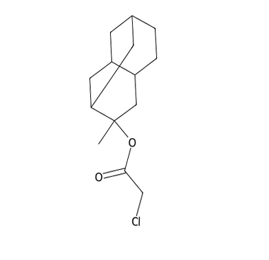 CC1(OC(=O)CCl)CC2CCC3CC2CC1C3